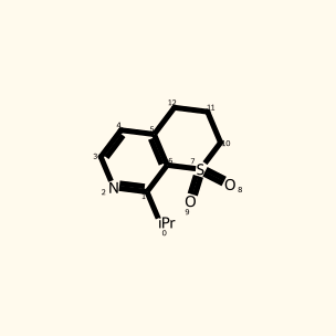 CC(C)c1nccc2c1S(=O)(=O)CCC2